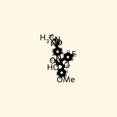 COc1ccc(C(=O)C2=C(O)C(=O)N(c3ccc(-c4nc(C)no4)cc3)C2c2ccc(F)cc2)cc1